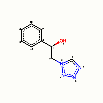 O[C@@H](Cn1cnnn1)c1ccccc1